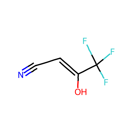 N#C/C=C(\O)C(F)(F)F